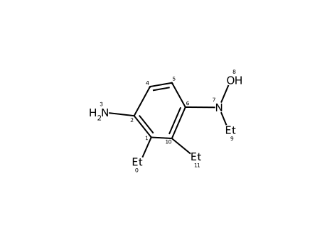 CCc1c(N)ccc(N(O)CC)c1CC